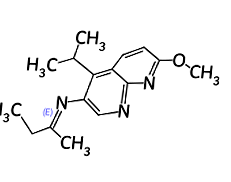 CC/C(C)=N/c1cnc2nc(OC)ccc2c1C(C)C